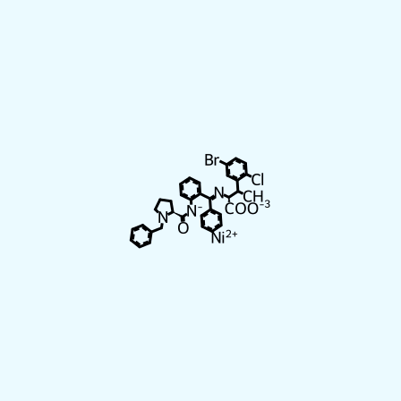 CC(c1cc(Br)ccc1Cl)[C@H](/N=C(\c1ccccc1)c1ccccc1[N-]C(=O)[C@@H]1CCCN1Cc1ccccc1)C(=O)[O-].[Ni+2]